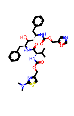 CC(C)[C@H](NC(=O)OCc1csc(N(C)C)n1)C(=O)N[C@@H](Cc1ccccc1)[C@@H](O)C[C@H](Cc1ccccc1)NC(=O)OCc1cnco1